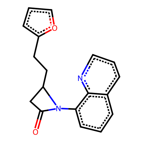 O=C1CC(CCc2ccco2)N1c1cccc2cccnc12